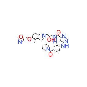 Cc1c(OCc2cnco2)ccc2c1CCN(C[C@H](O)CNC(=O)c1cc(N[C@H]3CC[C@H](C(=O)N4CCCCC4)CC3)ncn1)C2